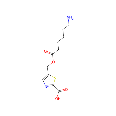 NCCCCCC(=O)OCc1cnc(C(=O)O)s1